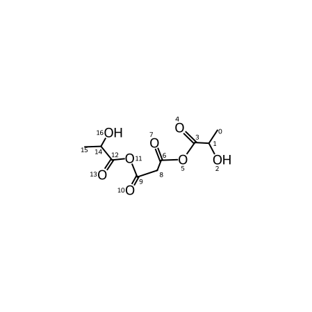 CC(O)C(=O)OC(=O)CC(=O)OC(=O)C(C)O